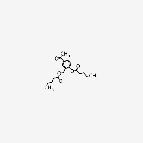 CCCCC(=O)OCc1cc(C(C)=O)ccc1OC(=O)CCCC